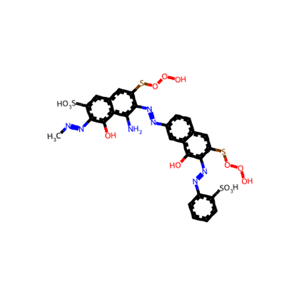 CN=Nc1c(S(=O)(=O)O)cc2cc(SOOO)c(N=Nc3ccc4cc(SOOO)c(N=Nc5ccccc5S(=O)(=O)O)c(O)c4c3)c(N)c2c1O